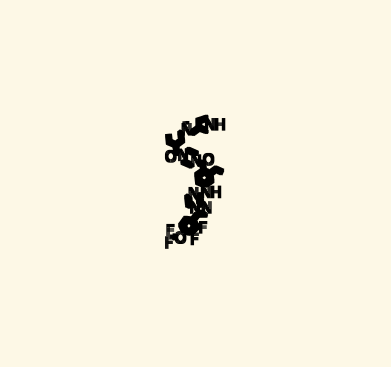 CCc1cc(Nc2nccn3c(-c4ccc(OC(F)F)c(F)c4F)cnc23)ccc1C(=O)N1CCN(C(=O)C(CC)CCN(C)CC2CCNC2)CC1